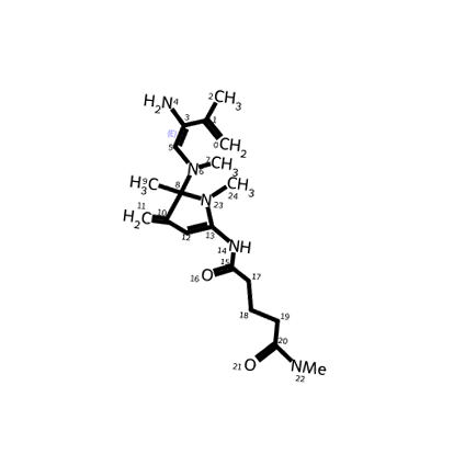 C=C(C)/C(N)=C\N(C)C1(C)C(=C)C=C(NC(=O)CCCC(=O)NC)N1C